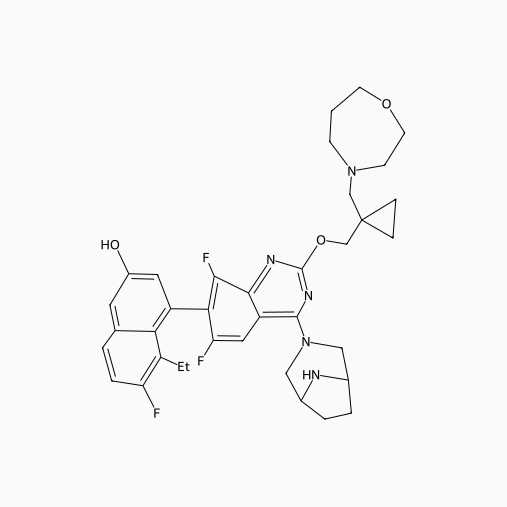 CCc1c(F)ccc2cc(O)cc(-c3c(F)cc4c(N5CC6CCC(C5)N6)nc(OCC5(CN6CCCOCC6)CC5)nc4c3F)c12